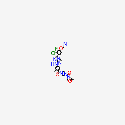 Cc1cc(Nc2nccn3c(-c4ccc(OCC#N)c(F)c4Cl)cnc23)ccc1C(=O)N1CCN(C(=O)N2CCO[C@H](C)C2)CC1